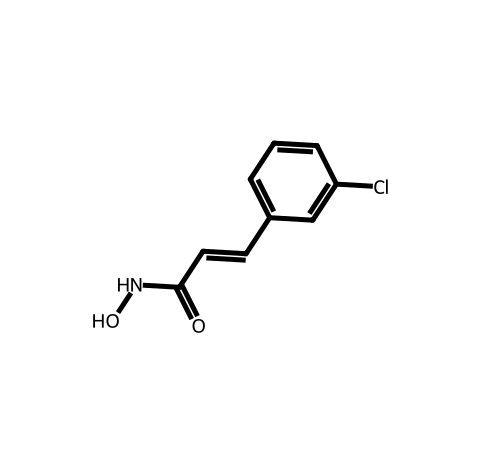 O=C(C=Cc1cccc(Cl)c1)NO